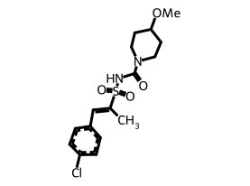 COC1CCN(C(=O)NS(=O)(=O)C(C)=Cc2ccc(Cl)cc2)CC1